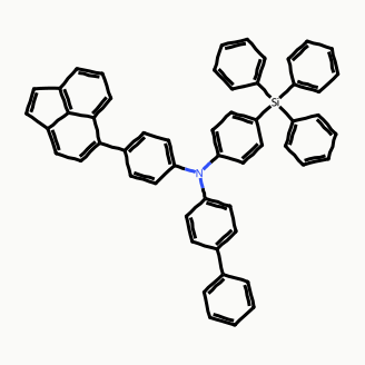 C1=Cc2ccc(-c3ccc(N(c4ccc(-c5ccccc5)cc4)c4ccc([Si](c5ccccc5)(c5ccccc5)c5ccccc5)cc4)cc3)c3cccc1c23